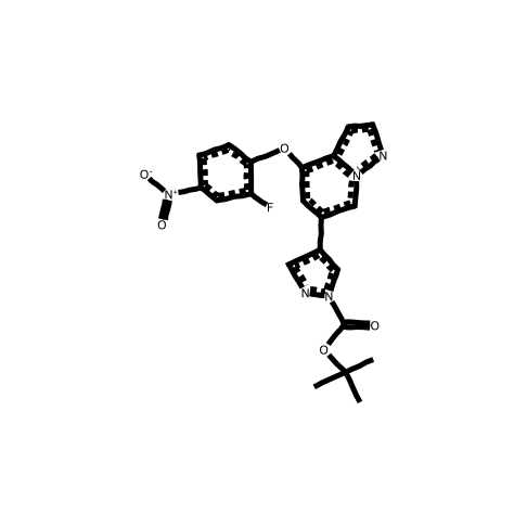 CC(C)(C)OC(=O)n1cc(-c2cc(Oc3ccc([N+](=O)[O-])cc3F)c3ccnn3c2)cn1